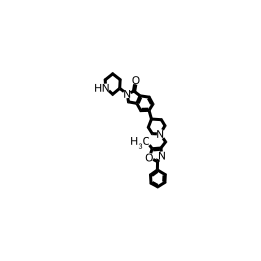 Cc1oc(-c2ccccc2)nc1CN1CCC(c2ccc3c(c2)CN(C2CCCNC2)C3=O)CC1